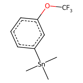 [CH3][Sn]([CH3])([CH3])[c]1cccc(OC(F)(F)F)c1